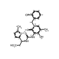 Cc1ccc(C(CC(=O)O)NC(=O)Nc2c(O)c(C)cn(Cc3ccccc3Cl)c2=O)o1